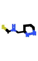 S=[C]NCc1cccnn1